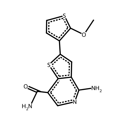 COc1sccc1-c1cc2c(N)ncc(C(N)=O)c2s1